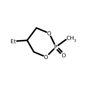 CC[C]1COP(C)(=O)OC1